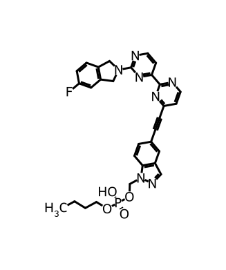 CCCCOP(=O)(O)OCn1ncc2cc(C#Cc3ccnc(-c4ccnc(N5Cc6ccc(F)cc6C5)n4)n3)ccc21